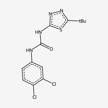 CC(C)(C)c1nnc(NC(=O)Nc2ccc(Cl)c(Cl)c2)s1